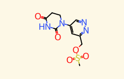 CS(=O)(=O)OCc1cc(N2CCC(=O)NC2=O)cnn1